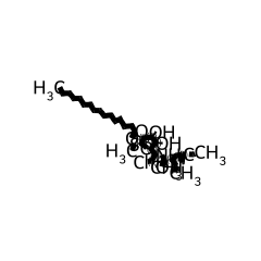 CCCCCCCCCCCCCCCC(=O)O[C@@H]1[C@@H](O)[C@@H](O)[C@@H]([C@H](NC(=O)[C@@H]2C[C@@H](CCC)CN2C)[C@H](C)Cl)O[C@@H]1SC